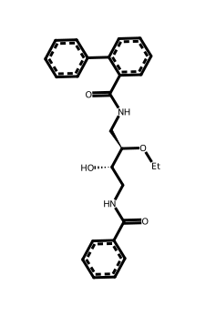 CCO[C@H](CNC(=O)c1ccccc1-c1ccccc1)[C@@H](O)CNC(=O)c1ccccc1